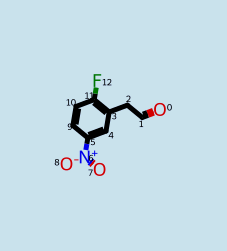 O=CCc1cc([N+](=O)[O-])ccc1F